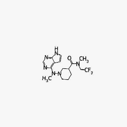 CN(CC(F)(F)F)C(=O)C1CCCN(N(C)c2ncnc3[nH]ccc23)C1